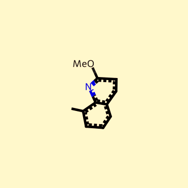 COc1ccc2cccc(C)c2n1